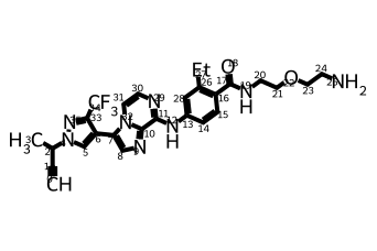 C#CC(C)n1cc(-c2cnc3c(Nc4ccc(C(=O)NCCOCCN)c(CC)c4)nccn23)c(C(F)(F)F)n1